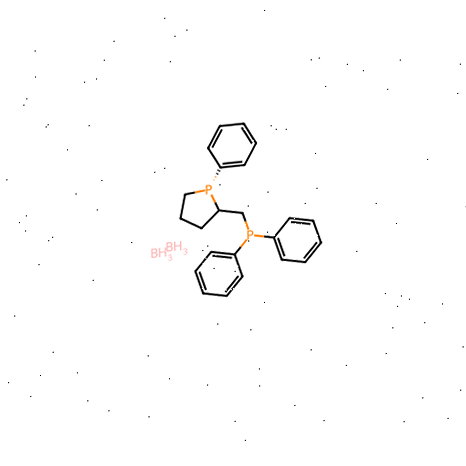 B.B.c1ccc(P(CC2CCC[P@]2c2ccccc2)c2ccccc2)cc1